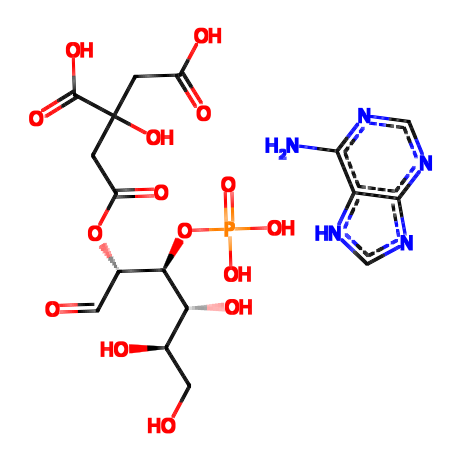 Nc1ncnc2nc[nH]c12.O=C[C@H](OC(=O)CC(O)(CC(=O)O)C(=O)O)[C@@H](OP(=O)(O)O)[C@H](O)[C@H](O)CO